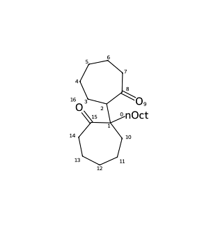 CCCCCCCCC1(C2CCCCCC2=O)CCCCCC1=O